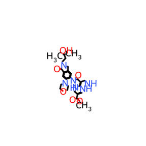 COC(=O)C1=CN/C(=C(\C=N)C(=O)Nc2cc3c(cc2N2CCOCC2)C(=O)N(CCC(C)(C)O)C3)N=C1